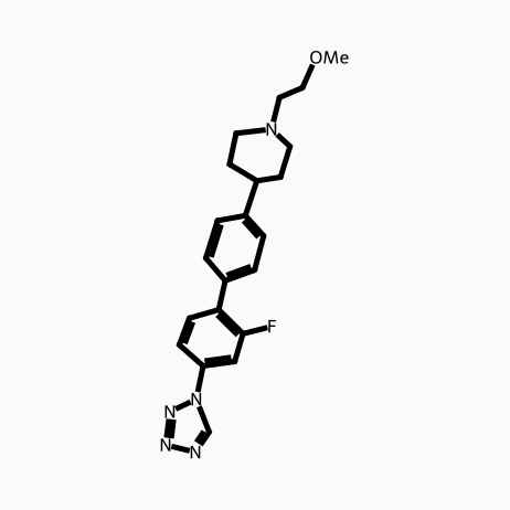 COCCN1CCC(c2ccc(-c3ccc(-n4cnnn4)cc3F)cc2)CC1